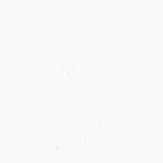 C=CCC(/C=C\CC1C=CC=CC1)C1C=CC(N(c2ccccc2)c2ccc(/C(=C/C=C\CCC)CC)cc2)=CC1